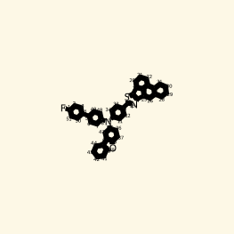 Fc1ccc(-c2ccc(N(c3ccc(-c4nc5c(s4)-c4cccc6c4c-5cc4ccccc46)cc3)c3ccc4oc5ccccc5c4c3)cc2)cc1